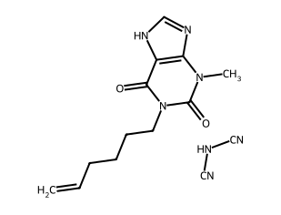 C=CCCCCn1c(=O)c2[nH]cnc2n(C)c1=O.N#CNC#N